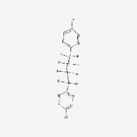 FC(F)(c1ncc(Cl)cn1)C(F)(F)C(F)(F)C(F)(F)c1ncc(Cl)cn1